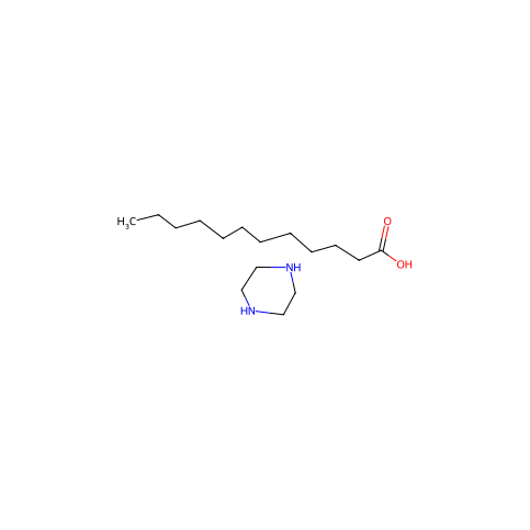 C1CNCCN1.CCCCCCCCCCCC(=O)O